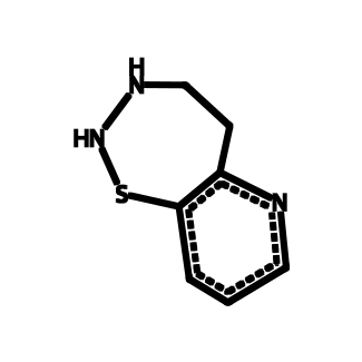 c1cnc2c(c1)SNNCC2